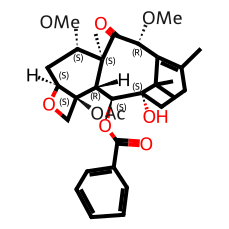 CO[C@H]1C(=O)[C@]2(C)[C@@H](OC)C[C@@H]3OC[C@@]3(OC(C)=O)[C@H]2[C@H](OC(=O)c2ccccc2)[C@]2(O)CCC(C)=C1C2(C)C